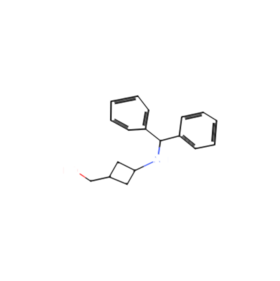 OCC1CC(NC(c2ccccc2)c2ccccc2)C1